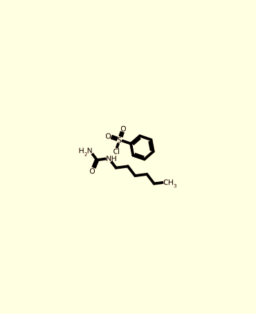 CCCCCCNC(N)=O.O=S(=O)(Cl)c1ccccc1